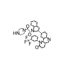 O=C(COc1ccc(-n2c(=O)ccc3cnc4ccc(-c5cnc6ccccc6c5)cc4c32)cc1C(F)(F)F)N1CCNCC1